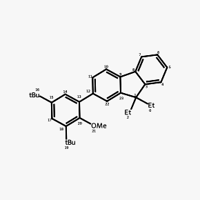 CCC1(CC)c2ccccc2-c2ccc(-c3cc(C(C)(C)C)cc(C(C)(C)C)c3OC)cc21